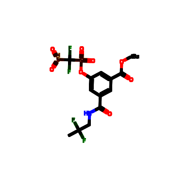 CC(F)(F)CNC(=O)c1cc(OS(=O)(=O)C(F)(F)[SH](=O)=O)cc(C(=O)OC(C)(C)C)c1